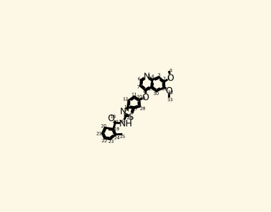 COc1cc2nccc(Oc3ccc4nc(NC(=O)c5ccccc5C)sc4c3)c2cc1OC